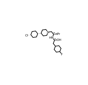 CC(C)[C@H](CN1CCC([C@H]2CC[C@@H](Cl)CC2)CC1)N[C@@H](O)CC1CCC(F)CC1